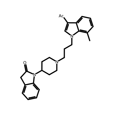 CC(=O)c1cn(CCCN2CCC(N3C(=O)Cc4ccccc43)CC2)c2c(C)cccc12